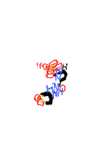 O=C(NNC1CCS(=O)(=O)CC1)[C@@H]1CC[C@@H]2CN1C(=O)N2OS(=O)(=O)O